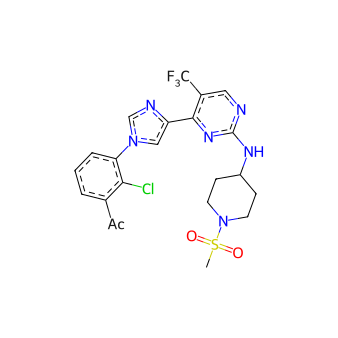 CC(=O)c1cccc(-n2cnc(-c3nc(NC4CCN(S(C)(=O)=O)CC4)ncc3C(F)(F)F)c2)c1Cl